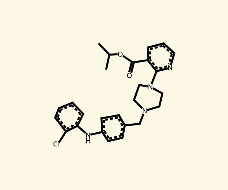 CC(C)OC(=O)c1cccnc1N1CCN(Cc2ccc(Nc3ccccc3Cl)cc2)CC1